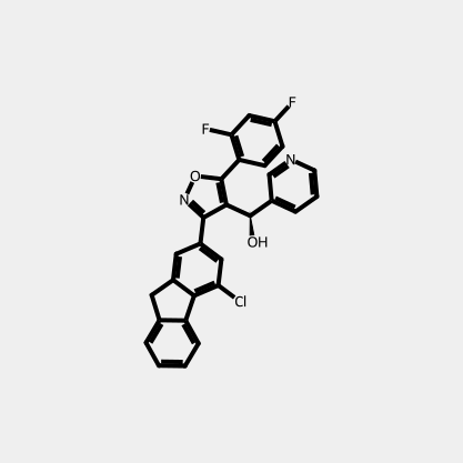 O[C@H](c1cccnc1)c1c(-c2cc(Cl)c3c(c2)Cc2ccccc2-3)noc1-c1ccc(F)cc1F